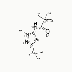 Cn1nc(C(C)(C)C)cc1NC(=O)C(C)(C)C